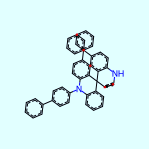 c1ccc(-c2ccc(N3c4ccccc4C4(c5ccccc5Nc5ccc(-c6ccccc6)cc54)c4cc(-c5ccccc5)ccc43)cc2)cc1